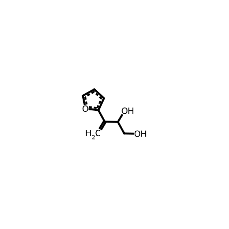 C=C(c1ccco1)C(O)CO